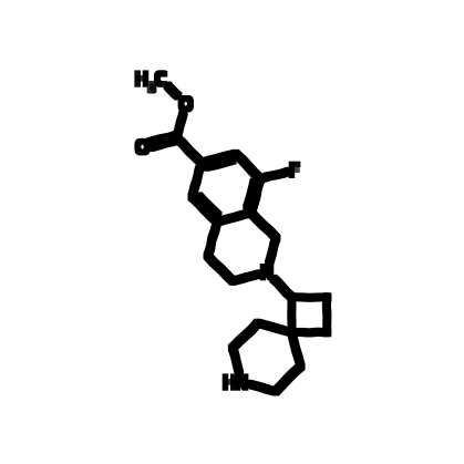 COC(=O)c1cc(F)c2c(c1)CCN(C1CCC13CCNCC3)C2